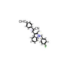 Cc1c(/C=C(\C#N)c2ccc(C=O)cc2)c2ccccc2n1Cc1ccc(F)cc1